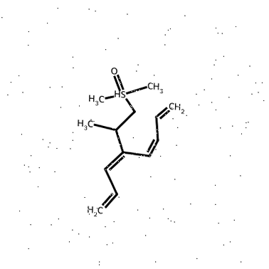 C=C/C=C\C(=C/C=C)C(C)C[SH](C)(C)=O